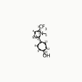 Cn1c(C(F)(F)F)cnc1-c1ccc(O)cc1